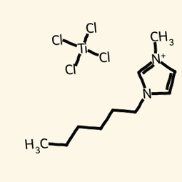 CCCCCCn1cc[n+](C)c1.[Cl][Ti]([Cl])([Cl])[Cl]